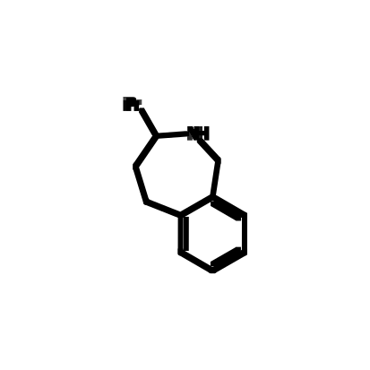 CC(C)C1CCc2ccccc2CN1